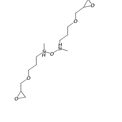 C[SiH](CCCOCC1CO1)O[SiH](C)CCCOCC1CO1